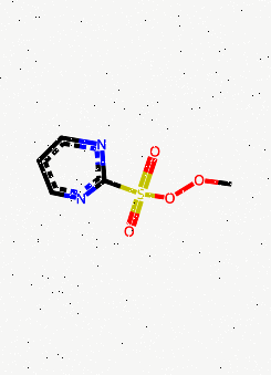 COOS(=O)(=O)c1ncccn1